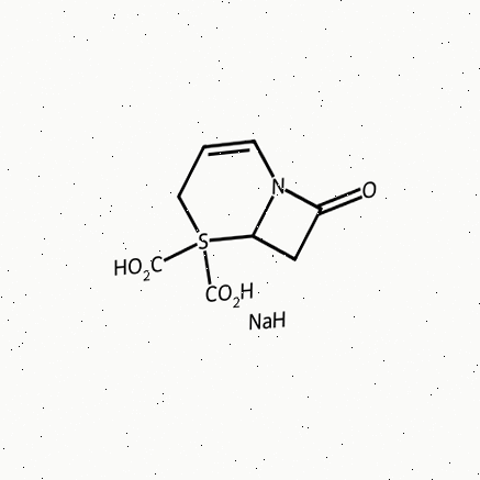 O=C1CC2N1C=CCS2(C(=O)O)C(=O)O.[NaH]